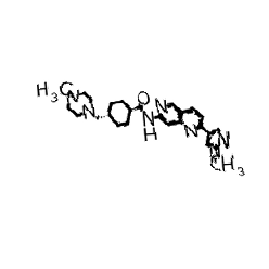 CN1CCN(C[C@H]2CC[C@H](C(=O)Nc3cc4nc(-c5cnn(C)c5)ccc4cn3)CC2)CC1